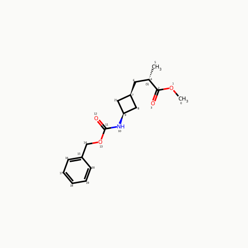 COC(=O)[C@@H](C)C[C@H]1C[C@@H](NC(=O)OCc2ccccc2)C1